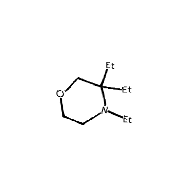 CCN1CCOCC1(CC)CC